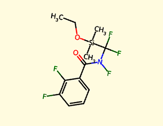 CCO[Si](C)(C)C(F)(F)N(F)C(=O)c1cccc(F)c1F